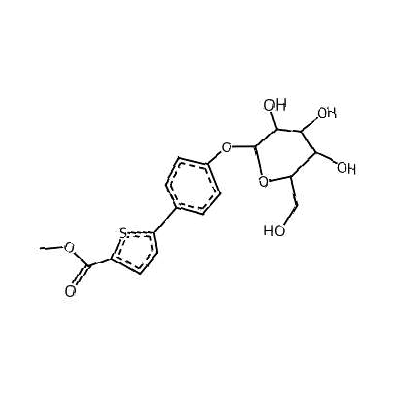 COC(=O)c1ccc(-c2ccc(OC3OC(CO)C(O)C(O)C3O)cc2)s1